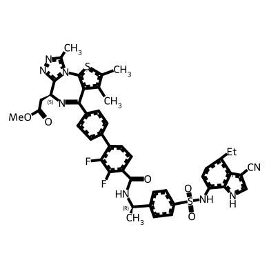 CCc1ccc(NS(=O)(=O)c2ccc([C@@H](C)NC(=O)c3ccc(-c4ccc(C5=N[C@@H](CC(=O)OC)c6nnc(C)n6-c6sc(C)c(C)c65)cc4)c(F)c3F)cc2)c2[nH]cc(C#N)c12